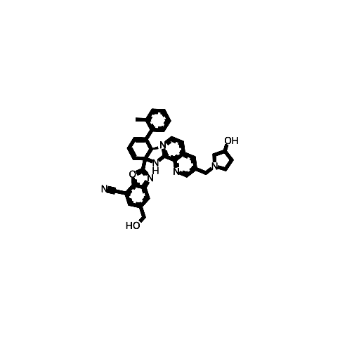 Cc1ccccc1C1=CC=CC(Nc2nccc3cc(CN4CCC(O)C4)cnc23)(c2nc3cc(CO)cc(C#N)c3o2)[C@@H]1C